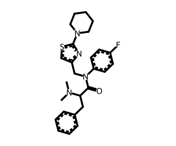 CN(C)C(Cc1ccccc1)C(=O)N(Cc1csc(N2CCCCC2)n1)c1ccc(F)cc1